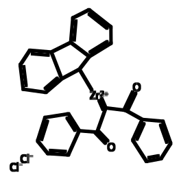 O=C([C](=[Zr+2][CH]1c2ccccc2-c2ccccc21)C(=O)c1ccccc1)c1ccccc1.[Cl-].[Cl-]